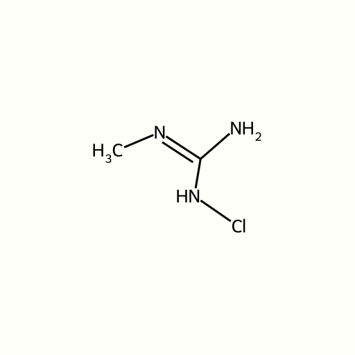 CN=C(N)NCl